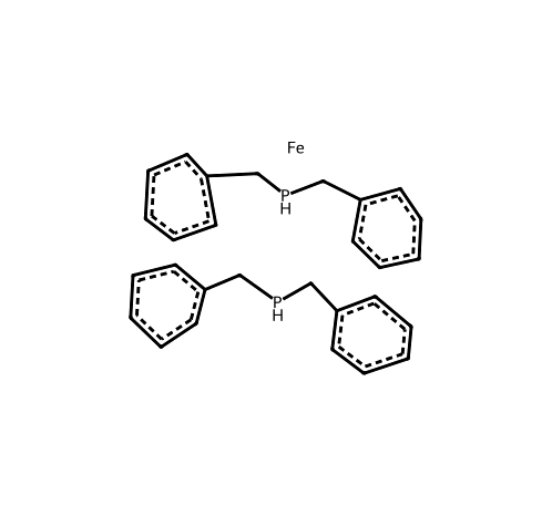 [Fe].c1ccc(CPCc2ccccc2)cc1.c1ccc(CPCc2ccccc2)cc1